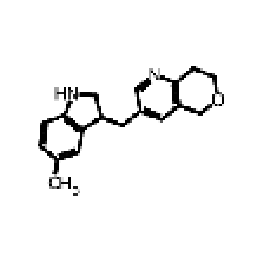 Cc1ccc2c(c1)C(Cc1cnc3c(c1)COCC3)CN2